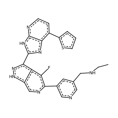 CCNCc1cncc(-c2ncc3[nH]nc(-c4nc5c(-c6cccs6)ccnc5[nH]4)c3c2F)c1